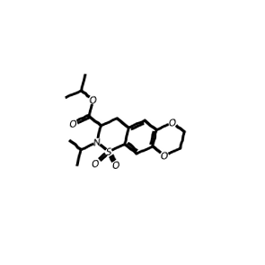 CC(C)OC(=O)C1Cc2cc3c(cc2S(=O)(=O)N1C(C)C)OCCO3